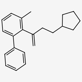 C=C(CCC1CCCC1)c1c(C)cccc1-c1ccccc1